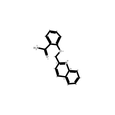 NC(=O)c1ccccc1OCc1ccc2ccccc2n1